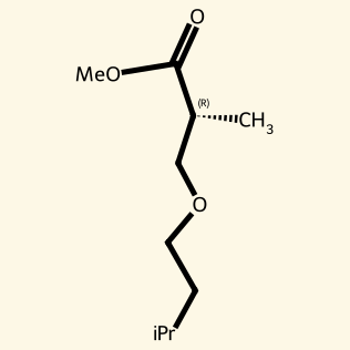 COC(=O)[C@H](C)COCCC(C)C